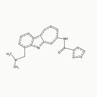 CN(C)Cc1cccc2c3cccc(NC(=O)c4ccsc4)cc-3nc12